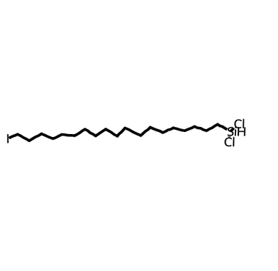 Cl[SiH](Cl)CCCCCCCCCCCCCCCCCCCI